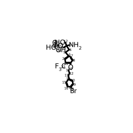 NC(CO)(CCc1ccc(OCCCc2ccc(Br)cc2)c(C(F)(F)F)c1)COP(=O)(O)O